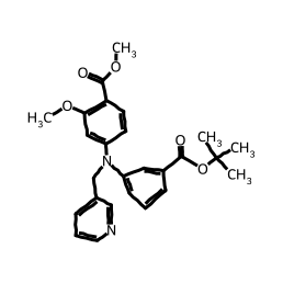 COC(=O)c1ccc(N(Cc2cccnc2)c2cccc(C(=O)OC(C)(C)C)c2)cc1OC